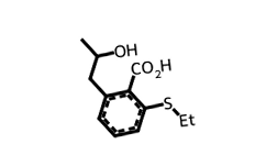 CCSc1cccc(CC(C)O)c1C(=O)O